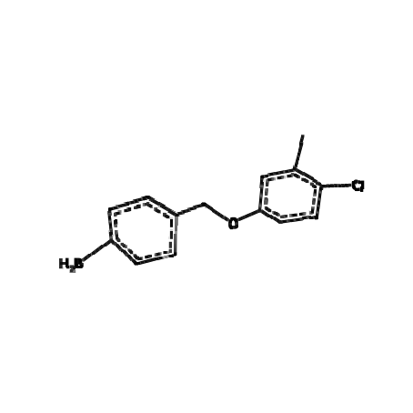 Bc1ccc(COc2ccc(Cl)c(C)c2)cc1